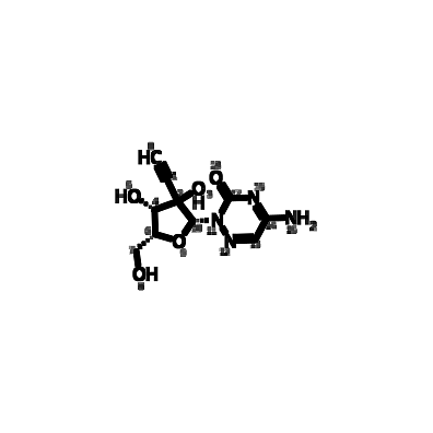 C#CC1(O)[C@@H](O)[C@@H](CO)O[C@H]1n1ncc(N)nc1=O